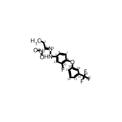 CCC(=NNc1ccc(Oc2cccc(C(F)(F)F)c2)c(F)c1)[N+](=O)[O-]